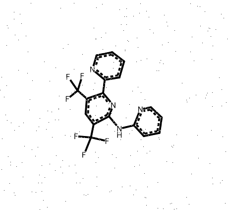 FC(F)(F)c1cc(C(F)(F)F)c(-c2ccccn2)nc1Nc1ccccn1